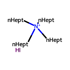 CCCCCCC[N+](CCCCCCC)(CCCCCCC)CCCCCCC.I